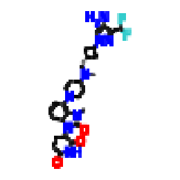 CN(C[C@H]1C[C@H](n2cc(N)c(C(F)F)n2)C1)C1CCN(c2cccc3c2n(C)c(=O)n3C2CCC(=O)NC2=O)CC1